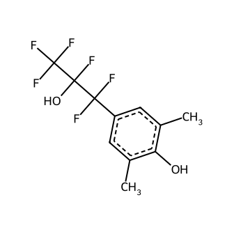 Cc1cc(C(F)(F)C(O)(F)C(F)(F)F)cc(C)c1O